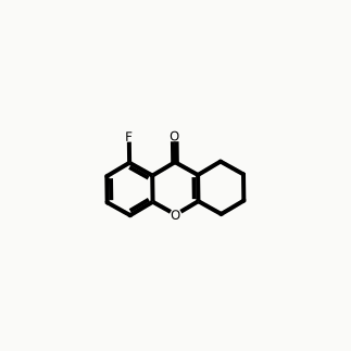 O=c1c2c(oc3cccc(F)c13)CCCC2